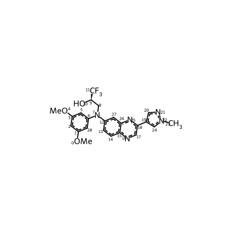 COc1cc(OC)cc(N(C[C@@H](O)C(F)(F)F)c2ccc3ncc(-c4cnn(C)c4)nc3c2)c1